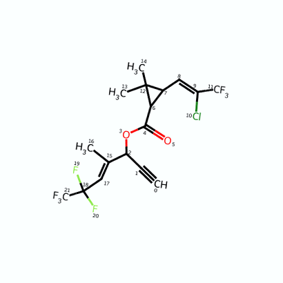 C#CC(OC(=O)C1C(/C=C(\Cl)C(F)(F)F)C1(C)C)/C(C)=C/C(F)(F)C(F)(F)F